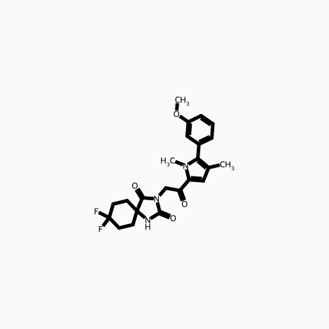 COc1cccc(-c2c(C)cc(C(=O)CN3C(=O)NC4(CCC(F)(F)CC4)C3=O)n2C)c1